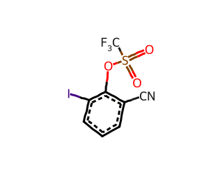 N#Cc1cccc(I)c1OS(=O)(=O)C(F)(F)F